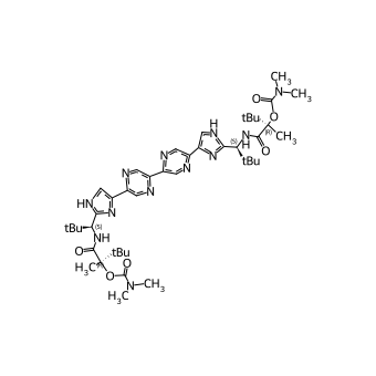 CN(C)C(=O)O[C@@](C)(C(=O)N[C@H](c1nc(-c2cnc(-c3cnc(-c4c[nH]c([C@@H](NC(=O)[C@](C)(OC(=O)N(C)C)C(C)(C)C)C(C)(C)C)n4)cn3)cn2)c[nH]1)C(C)(C)C)C(C)(C)C